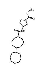 CC(C)(C)OC(=O)N1CCC(NC(=O)C2CCCC(C3CCCCCCC3)CCC2)C1